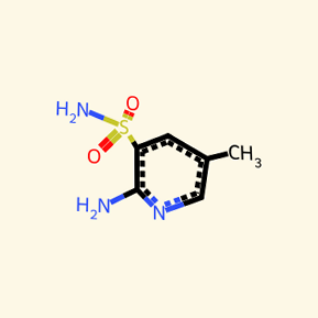 Cc1cnc(N)c(S(N)(=O)=O)c1